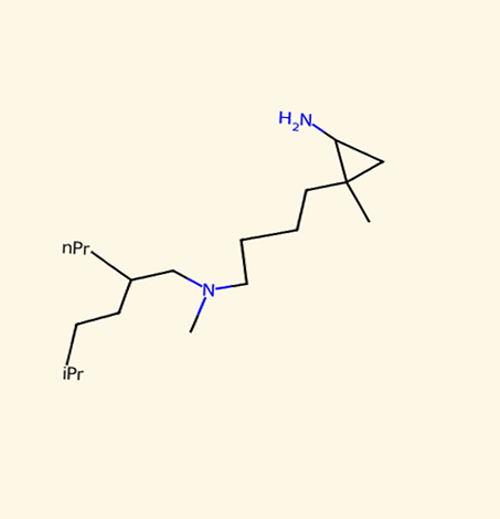 CCCC(CCC(C)C)CN(C)CCCCC1(C)CC1N